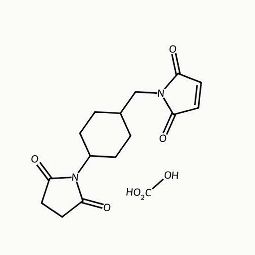 O=C(O)O.O=C1C=CC(=O)N1CC1CCC(N2C(=O)CCC2=O)CC1